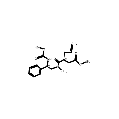 C=CC[C@@H](CC(=O)OC(C)(C)C)C(=O)N(C)C[C@H](NC(=O)OC(C)(C)C)c1ccccc1